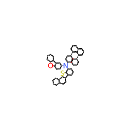 c1ccc(-c2cccc3cccc(-c4ccc(N(c5ccc6oc7ccccc7c6c5)c5cccc6c5sc5c7ccccc7ccc65)cc4)c23)cc1